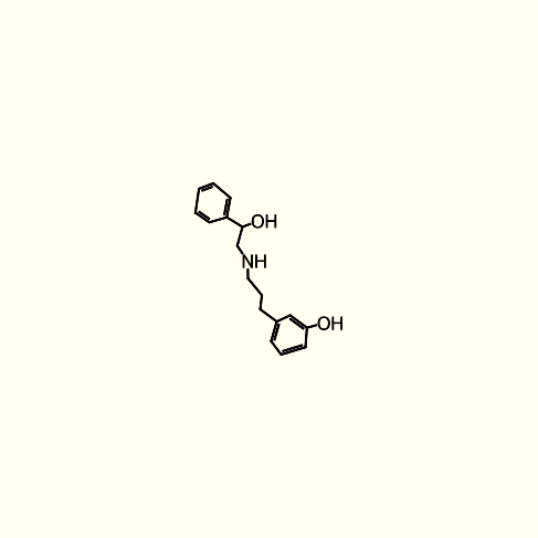 Oc1cccc(CCCNCC(O)c2ccccc2)c1